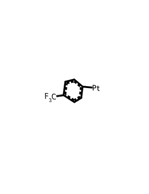 FC(F)(F)c1cc[c]([Pt])cc1